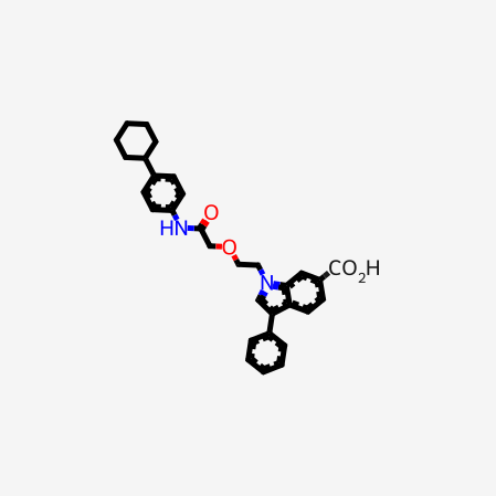 O=C(COCCn1cc(-c2ccccc2)c2ccc(C(=O)O)cc21)Nc1ccc(C2CCCCC2)cc1